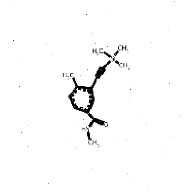 CNC(=O)c1ccc(C)c(C#C[Si](C)(C)C)c1